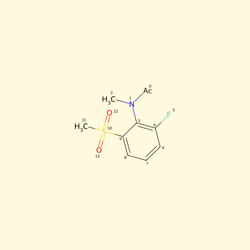 CC(=O)N(C)c1c(F)cccc1S(C)(=O)=O